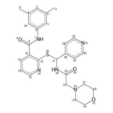 Cc1cc(C)cc(NC(=O)c2cccnc2SC(NC(=O)CN2CCOCC2)c2ccncc2)c1